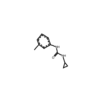 Cc1cccc(NC(=O)NC2CC2)c1